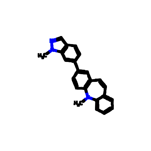 CN1c2ccccc2C=Cc2cc(-c3ccc4cnn(C)c4c3)ccc21